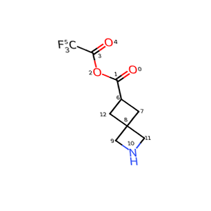 O=C(OC(=O)C(F)(F)F)C1CC2(CNC2)C1